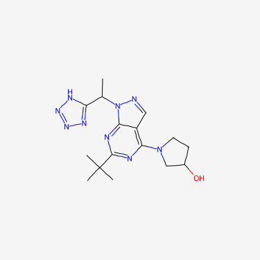 CC(c1nnn[nH]1)n1ncc2c(N3CCC(O)C3)nc(C(C)(C)C)nc21